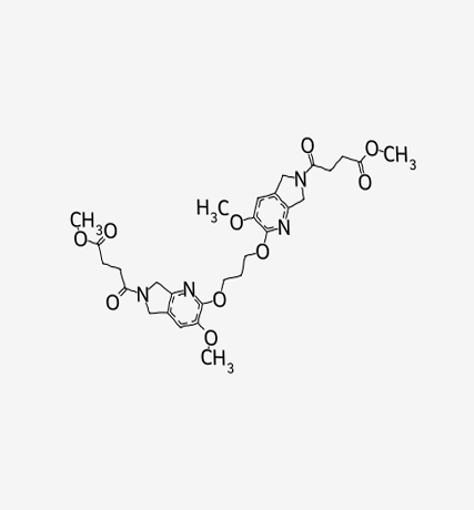 COC(=O)CCC(=O)N1Cc2cc(OC)c(OCCCOc3nc4c(cc3OC)CN(C(=O)CCC(=O)OC)C4)nc2C1